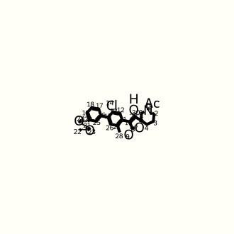 CC(=O)N1CCCC2(C1)OC(=O)C(c1cc(Cl)c(-c3cccc(S(C)(=O)=O)c3)cc1C)=C2O